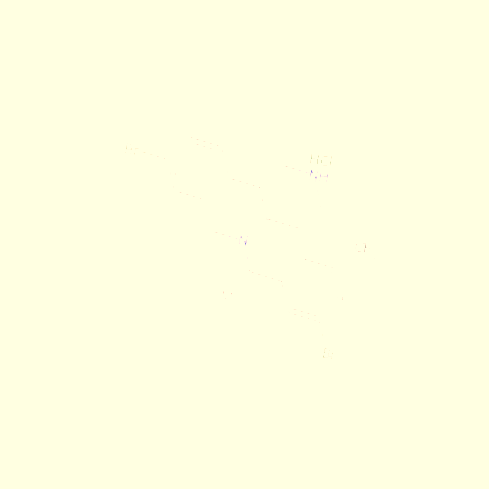 CN(C(=O)c1cc(Br)cc(C(F)(F)F)c1)C1CCNCC1c1ccc(Br)cc1.Cl